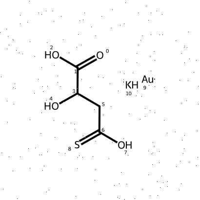 O=C(O)C(O)CC(O)=S.[Au].[KH]